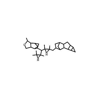 CC1OCC2C3CC(CC3C(C3(C)NC3(C)C)C3(C)NC3(C)CC3CC4CC3C3C4CC4C5CC5C43)C12